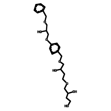 OCCC(O)COCCC(O)COCc1ccc(OCC(O)COCc2ccccc2)cc1